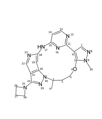 CC1CCOc2c(cnn2C)-c2nccc(n2)Nc2cc3c(cn2)c(N2CCC2)nn31